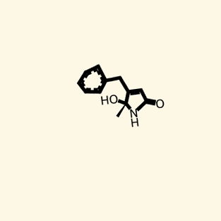 C[C@]1(O)NC(=O)C=C1Cc1ccccc1